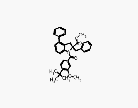 COC(=O)C1(Cc2ccccc2)Cc2c(-c3ccccc3)cccc2N1C(=O)c1ccc(C(C)(C)C)c(OC)c1